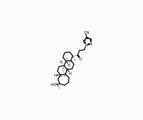 C[C@@]1(O)CCC[C@@]2(C)[C@@H](CC[C@@H]3[C@@H]2CC[C@]2(C)[C@@H](C(=O)CCn4cc(C#N)cn4)CCC[C@@H]32)C1